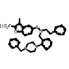 CCOC(=O)c1oc2ccc(SN(CCc3ccccc3)Cc3ccccc3N3CCN(Cc4ccccc4)CC3)cc2c1C